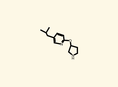 CC(C)Cc1ccc(OC2CCNC2)nc1